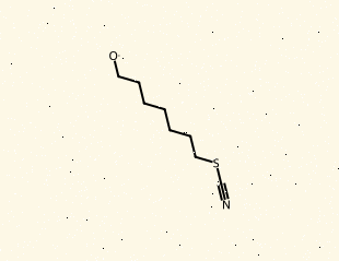 N#CSCCCCCCC[O]